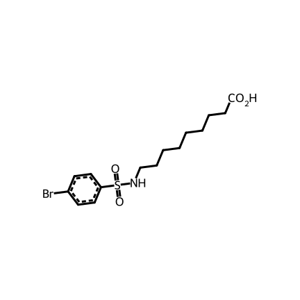 O=C(O)CCCCCCCCNS(=O)(=O)c1ccc(Br)cc1